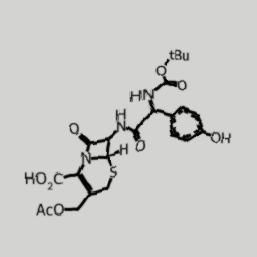 CC(=O)OCC1=C(C(=O)O)N2C(=O)C(NC(=O)C(NC(=O)OC(C)(C)C)c3ccc(O)cc3)[C@@H]2SC1